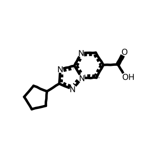 O=C(O)c1[c]n2nc(C3CCCC3)nc2nc1